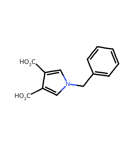 O=C(O)c1cn(Cc2ccccc2)cc1C(=O)O